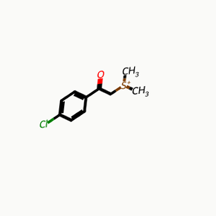 C[S+](C)CC(=O)c1ccc(Cl)cc1